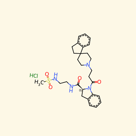 CS(=O)(=O)NCCNC(=O)[C@@H]1Cc2ccccc2N1C(=O)CCN1CCC2(CCc3ccccc32)CC1.Cl